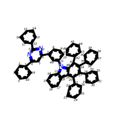 c1ccc(-c2cc(-c3cccc(-n4c5ccccc5c5c(-c6ccccc6)c(-c6ccccc6)c(-c6ccccc6)c(-c6ccccc6)c54)c3)nc(-c3ccccc3)n2)cc1